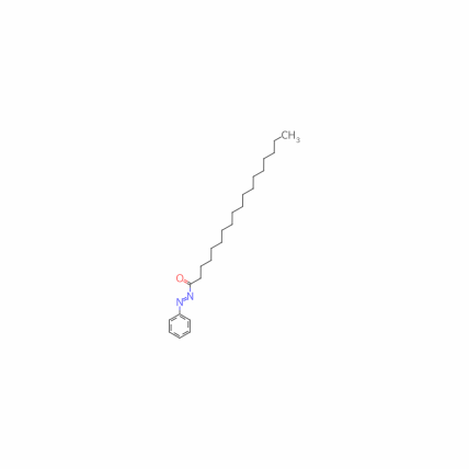 CCCCCCCCCCCCCCCCCC(=O)N=Nc1ccccc1